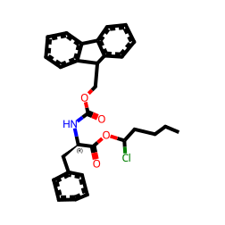 CCCCC(Cl)OC(=O)[C@@H](Cc1ccccc1)NC(=O)OCC1c2ccccc2-c2ccccc21